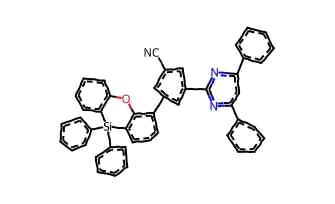 N#Cc1cc(-c2nc(-c3ccccc3)cc(-c3ccccc3)n2)cc(-c2cccc3c2Oc2ccccc2[Si]3(c2ccccc2)c2ccccc2)c1